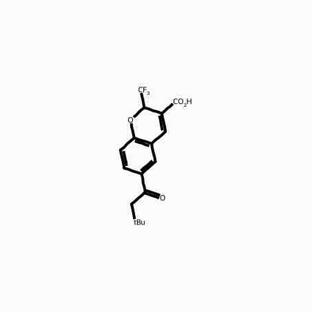 CC(C)(C)CC(=O)c1ccc2c(c1)C=C(C(=O)O)C(C(F)(F)F)O2